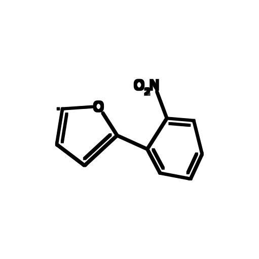 O=[N+]([O-])c1ccccc1-c1cc[c]o1